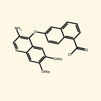 COc1cc2ncc(N)c(Oc3ccc4c(C(=O)Cl)cccc4c3)c2cc1OC